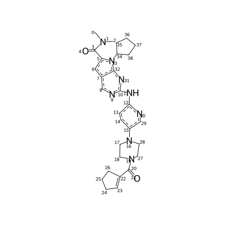 CN(C)C(=O)c1cc2cnc(Nc3ccc(N4CCN(C(=O)C5=CCCC5)CC4)cn3)nc2n1C1CCCC1